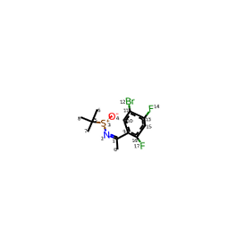 C/C(=N/[S@+]([O-])C(C)(C)C)c1cc(Br)c(F)cc1F